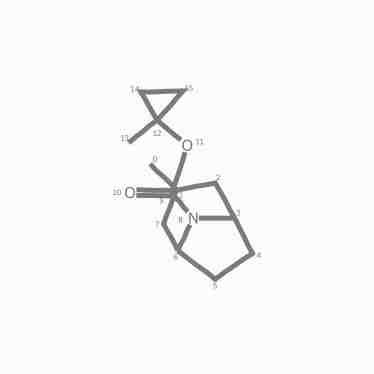 CC1CC2CCC(C1)N2C(=O)OC1(C)CC1